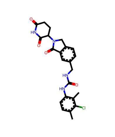 Cc1ccc(NC(=O)NCc2ccc3c(c2)C(=O)N(C2CCC(=O)NC2=O)C3)c(C)c1Cl